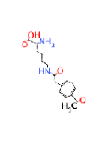 CC(=O)C1=CCC=C(CC(=O)NCCCC[C@H](N)C(=O)O)C=C1